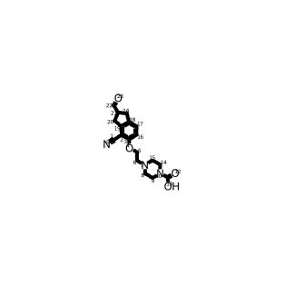 N#Cc1c(OCCN2CCN(C(=O)O)CC2)ccc2c1CC(C=O)C2